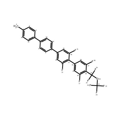 Cc1ccc(-c2ccc(-c3cc(F)c(-c4cc(F)c(C(F)(F)OC(F)(F)F)c(F)c4)c(F)c3)cc2)cc1